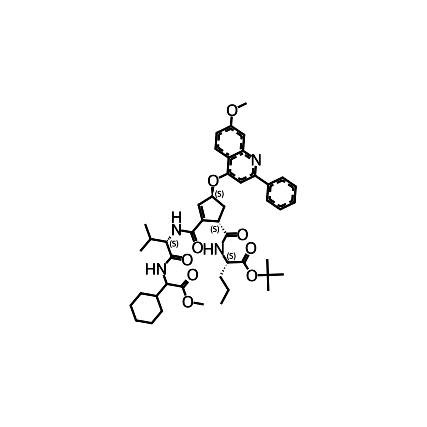 CCC[C@H](NC(=O)[C@H]1C[C@H](Oc2cc(-c3ccccc3)nc3cc(OC)ccc23)C=C1C(=O)N[C@H](C(=O)NC(C(=O)OC)C1CCCCC1)C(C)C)C(=O)OC(C)(C)C